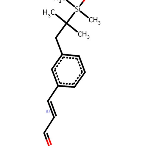 CC(C)(Cc1cccc(/C=C/C=O)c1)[Si](C)(C)O